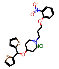 Cl.O=[N+]([O-])c1ccccc1OCCCN1CCC(OC(c2cccs2)c2cccs2)CC1